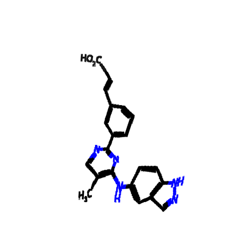 Cc1cnc(-c2cccc(/C=C/C(=O)O)c2)nc1Nc1ccc2[nH]ncc2c1